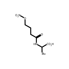 CCC(C)C(NC(=O)CCCO[N+](=O)[O-])C(=O)O